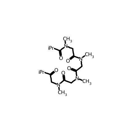 CC(C)C(=O)CN(C)C(=O)CN(C)C(=O)CN(C)C(=O)CN(C)C(=O)C(C)C